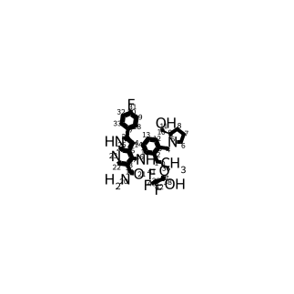 CCc1c(CN2CCC[C@@H]2CO)cccc1Nc1c(C(N)=O)cnc2[nH]c(-c3ccc(F)cc3)cc12.O=C(O)C(F)(F)F